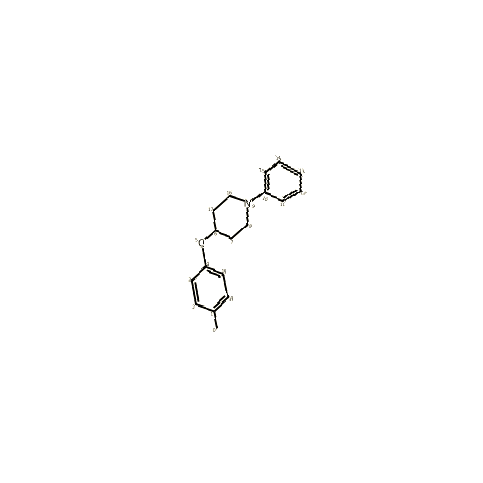 Cc1ccc(OC2CCN(c3[c]cccc3)CC2)cc1